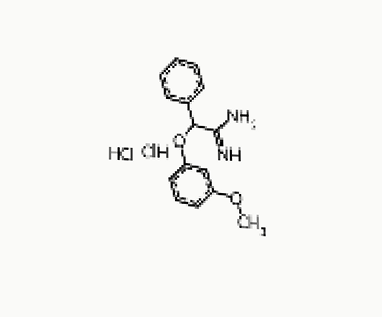 COc1cccc(OC(C(=N)N)c2ccccc2)c1.Cl.Cl